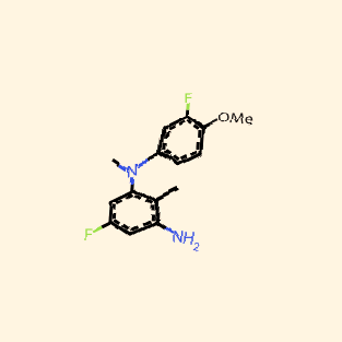 COc1ccc(N(C)c2cc(F)cc(N)c2C)cc1F